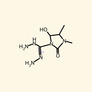 CC1C(O)N(/C(=N/N)NN)C(=O)N1C